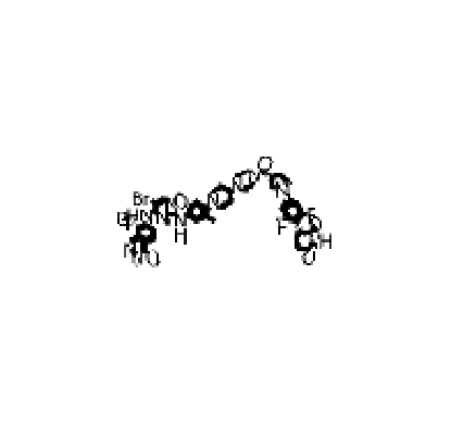 COc1cc(N2CCC(N3CCN(C(=O)[C@@H]4CCN(c5cc(F)c([C@H]6CCC(=O)NC6=O)c(F)c5)C4)CC3)CC2)c(C)cc1Nc1ncc(Br)c(Nc2ccc3c(=O)n(C)ncc3c2P(C)(C)=O)n1